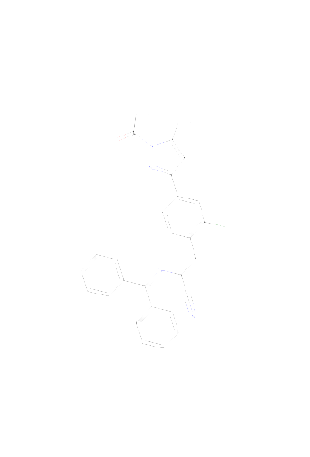 CC(=O)n1nc(-c2ccc(CC(C#N)N=C(c3ccccc3)c3ccccc3)c(F)c2)cc1C